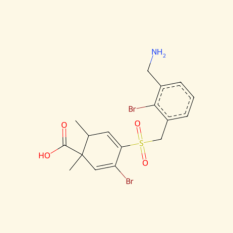 CC1C=C(S(=O)(=O)Cc2cccc(CN)c2Br)C(Br)=CC1(C)C(=O)O